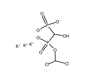 O=P([O-])([O-])C(O)P(=O)([O-])OC(Cl)Cl.[K+].[K+].[K+]